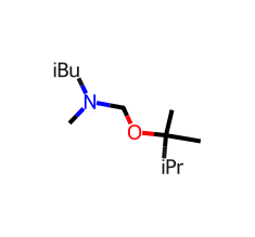 CCC(C)N(C)COC(C)(C)C(C)C